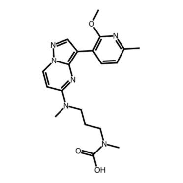 COc1nc(C)ccc1-c1cnn2ccc(N(C)CCCN(C)C(=O)O)nc12